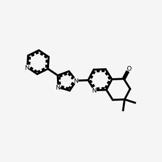 CC1(C)CC(=O)c2ccc(-n3cnc(-c4cccnc4)c3)nc2C1